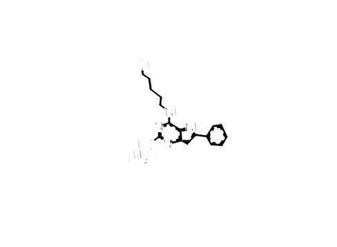 Cc1nc(NCCCCCO)c2[nH]c(-c3ccccc3)cc2n1.Cl.O